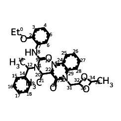 CCOc1ccccc1NC(=O)N(C(C)c1ccccc1)C(C)c1nc2ccccc2n(CC2OC(C)O2)c1=O